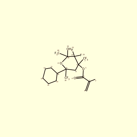 C=C(C)C(=O)OC1(C(F)(F)F)CC(C2CCCCC2)(C(F)(F)F)OC(O)(C(F)(F)F)C1(F)F